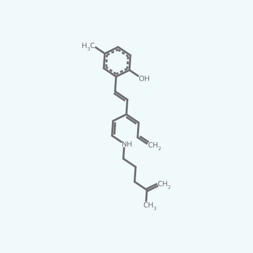 C=C/C=C(\C=C/NCCCC(=C)C)/C=C/c1cc(C)ccc1O